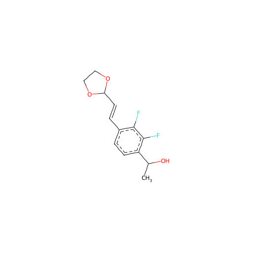 CC(O)c1ccc(C=CC2OCCO2)c(F)c1F